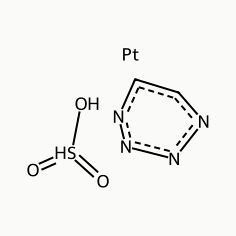 O=[SH](=O)O.[Pt].c1cnnnn1